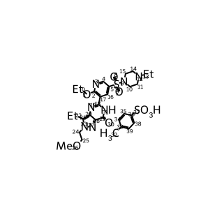 CCOc1ncc(S(=O)(=O)N2CCN(CC)CC2)cc1-c1nc2c(CC)n(CCOC)nc2c(=O)[nH]1.Cc1ccc(S(=O)(=O)O)cc1